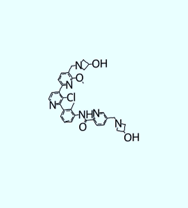 COc1nc(-c2ccnc(-c3cccc(NC(=O)c4ccc(CN5CC(O)C5)cn4)c3C)c2Cl)ccc1CN1CC(O)C1